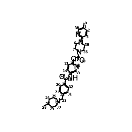 Cc1ccc(N2CCN(C(=O)Oc3ccc(NC(=O)c4ccc(CN5CCC(C)CC5)cc4)cn3)CC2)nc1